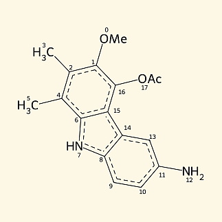 COc1c(C)c(C)c2[nH]c3ccc(N)cc3c2c1OC(C)=O